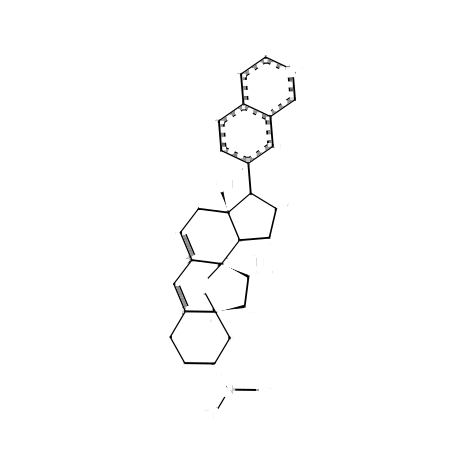 CCN(C(C)C)[C@@H]1CCC2=CC3=CC[C@]4(C)C(c5ccc6ccncc6c5)CC[C@H]4[C@@]34CC[C@]2(C1)O4